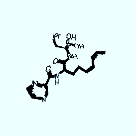 C/C=C\C=C/CCC(NC(=O)c1cnccn1)C(=O)N[C@@H](CC(C)C)B(O)O